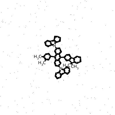 Cc1ccc(-c2c3ccc(-n4c5ccccc5c5ccccc54)cc3c(-c3ccc4c(c3)C(C)(C)c3ccccc3-4)c3ccc(-n4c5ccccc5c5ccccc54)cc23)cc1C